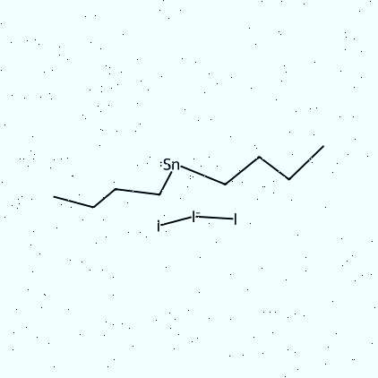 CCC[CH2][Sn][CH2]CCC.I[I-]I